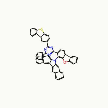 c1ccc(-c2nc(-c3ccc4sc5ccccc5c4c3)nc(-c3ccc4c(oc5ccccc54)c3-n3c4cc5ccccc5cc4c4cc5ccccc5cc43)n2)cc1